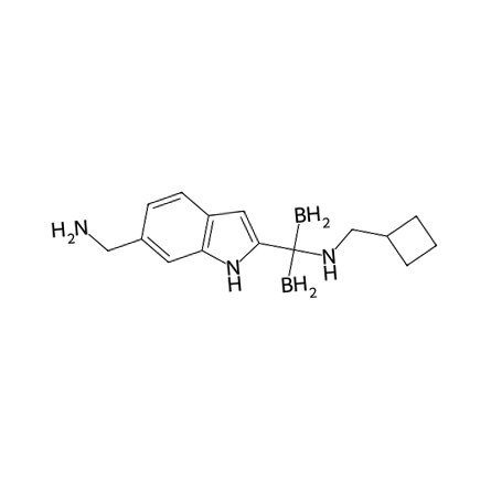 BC(B)(NCC1CCC1)c1cc2ccc(CN)cc2[nH]1